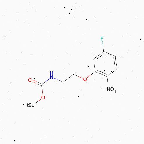 CC(C)(C)OC(=O)NCCOc1cc(F)ccc1[N+](=O)[O-]